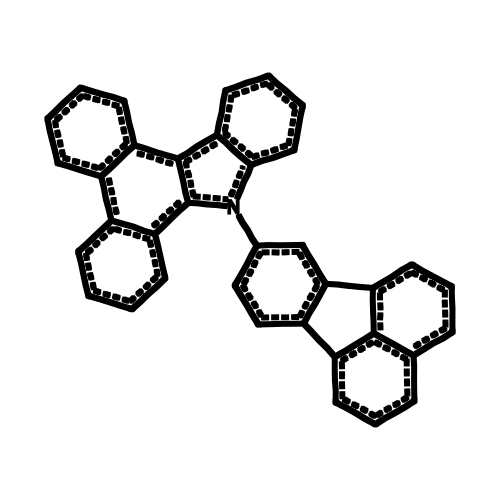 c1cc2c3c(cccc3c1)-c1cc(-n3c4ccccc4c4c5ccccc5c5ccccc5c43)ccc1-2